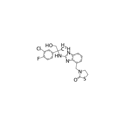 CC(CO)(Nc1nc2c(CN3CCSC3=O)cccc2[nH]1)c1ccc(F)c(Cl)c1